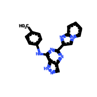 O=C(O)c1ccc(Nc2nc(-c3cn4ccccc4n3)nc3cn[nH]c23)cc1